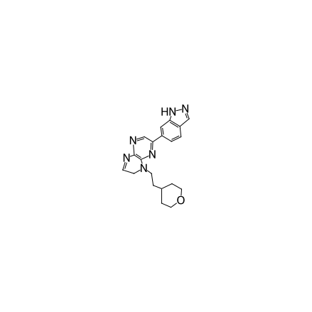 C1=Nc2ncc(-c3ccc4cn[nH]c4c3)nc2N(CCC2CCOCC2)C1